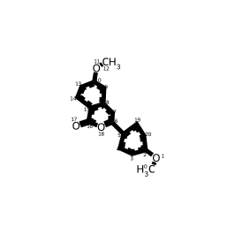 COc1ccc(-c2cc3cc(OC)ccc3c(=O)o2)cc1